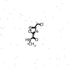 CNC(=O)c1nc(CCl)no1